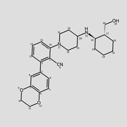 N#Cc1c(-c2ccc3c(c2)OCCO3)cccc1N1CCC(N[C@@H]2CCCC[C@H]2CO)CC1